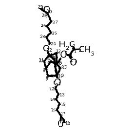 C=C(C)C(=O)OC12CC3CC(OCCCCCC4CO4)(CC(OCCCCCC4CO4)(C3)C1)C2